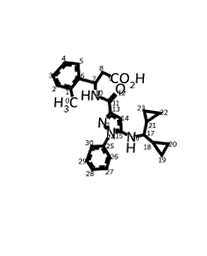 Cc1ccccc1C(CC(=O)O)NC(=O)c1cc(NC(C2CC2)C2CC2)n(-c2ccccc2)n1